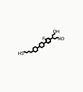 O=NCCC(CCO)c1ccc(C2CCC(C3CCC(CCCCS)CC3)CC2)c(F)c1